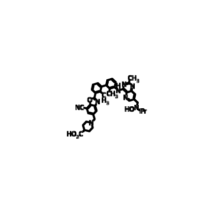 Cc1nc(Nc2cccc(-c3cccc(-c4nc5cc(CN6CCC(C(=O)O)CC6)cc(C#N)c5o4)c3C)c2C)c2ncc(CN(O)C(C)C)cc2n1